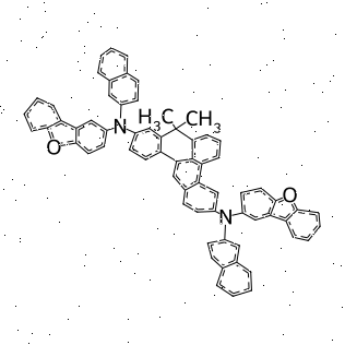 CC1(C)c2cc(N(c3ccc4ccccc4c3)c3ccc4oc5ccccc5c4c3)ccc2-c2cc3ccc(N(c4ccc5ccccc5c4)c4ccc5oc6ccccc6c5c4)cc3c3cccc1c23